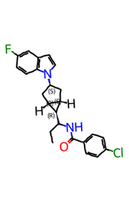 CCC(NC(=O)c1ccc(Cl)cc1)[C@H]1[C@@H]2C[C@@H](n3ccc4cc(F)ccc43)C[C@@H]21